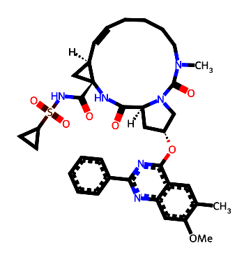 COc1cc2nc(-c3ccccc3)nc(O[C@@H]3C[C@H]4C(=O)N[C@]5(C(=O)NS(=O)(=O)C6CC6)C[C@H]5/C=C\CCCCN(C)C(=O)N4C3)c2cc1C